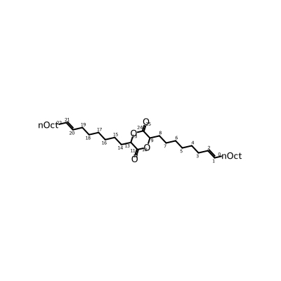 CCCCCCCCC=CCCCCCCC1OC(=O)C(CCCCCCC=CCCCCCCCC)OC1=O